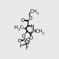 CCOC(=O)c1nn(C)c(=O)c(OS(=O)(=O)C(F)(F)F)c1C